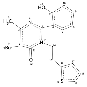 CCCCc1c(C)nc(-c2ccccc2O)n(CCc2cccs2)c1=O